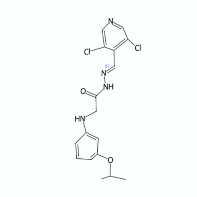 CC(C)Oc1cccc(NCC(=O)N/N=C/c2c(Cl)cncc2Cl)c1